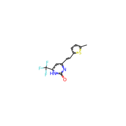 Cc1ccc(C=Cc2cc(C(F)(F)F)[nH]c(=O)n2)s1